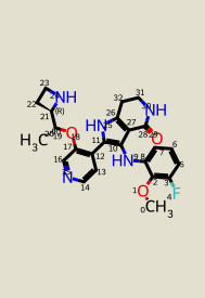 COc1c(F)cccc1Nc1c(-c2ccncc2O[C@H](C)[C@H]2CCN2)[nH]c2c1C(=O)NCC2